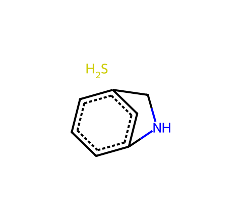 S.c1cc2cc(c1)NC2